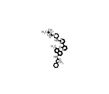 Cc1ccc2c(NC(=O)CC3(C)CCCCC3)cccc2c1Oc1ncccc1-c1ccnc(NC2CCCN(C(=O)OC(C)(C)C)C2)n1